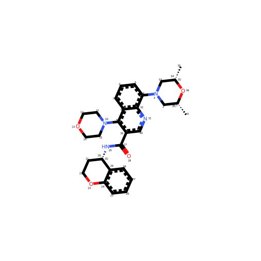 C[C@@H]1CN(c2cccc3c(N4CCOCC4)c(C(=O)N[C@H]4CCOc5ccccc54)cnc23)C[C@H](C)O1